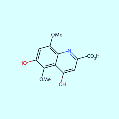 COc1cc(O)c(OC)c2c(O)cc(C(=O)O)nc12